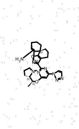 C[C@H](Oc1cc(-n2ccnn2)nc(-c2noc3c2CCC[C@@]32CCCc3sc(N)c(C#N)c32)n1)[C@@H]1CCCN1C